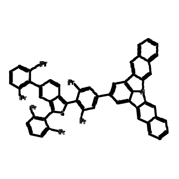 CC(C)c1cccc(C(C)C)c1-c1ccc2c(-c3c(C(C)C)cc(-c4cc5c6cc7ccccc7cc6n6c7cc8ccccc8cc7c(c4)c56)cc3C(C)C)sc(-c3c(C(C)C)cccc3C(C)C)c2c1